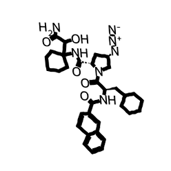 [N-]=[N+]=N[C@H]1C[C@@H](C(=O)NC2(C(O)C(N)=O)CCCCC2)N(C(=O)[C@@H](CC2CCCCC2)NC(=O)c2ccc3ccccc3c2)C1